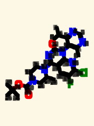 Cc1ncnc(C(C)C)c1-n1c(=O)nc(N2CCN(C(=O)OC(C)(C)C)CC2C)c2cc(F)c(Cl)nc21